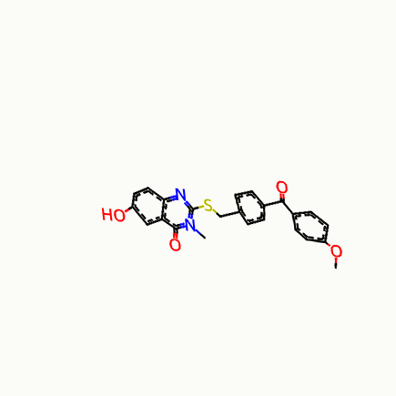 COc1ccc(C(=O)c2ccc(CSc3nc4ccc(O)cc4c(=O)n3C)cc2)cc1